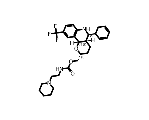 O=C(NCCN1CCCCC1)OC[C@H]1CC[C@@H]2[C@H](O1)c1cc(C(F)(F)F)ccc1N[C@H]2C1C=CC=CC1